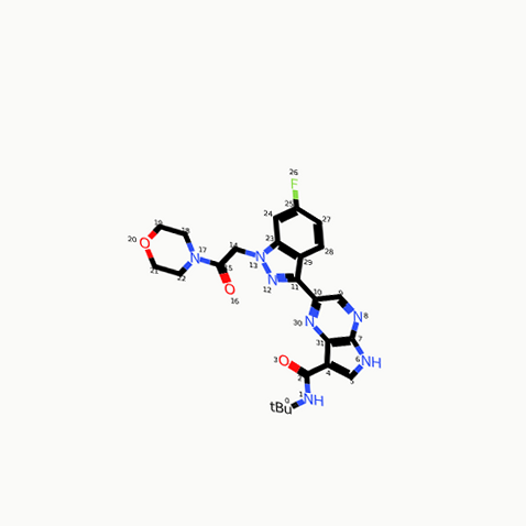 CC(C)(C)NC(=O)c1c[nH]c2ncc(-c3nn(CC(=O)N4CCOCC4)c4cc(F)ccc34)nc12